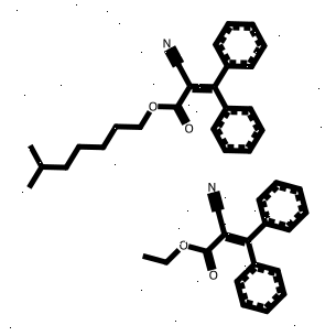 CC(C)CCCCCOC(=O)C(C#N)=C(c1ccccc1)c1ccccc1.CCOC(=O)C(C#N)=C(c1ccccc1)c1ccccc1